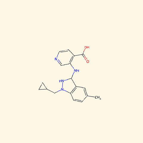 Cc1ccc2c(c1)C(Nc1cnccc1C(=O)O)NN2CC1CC1